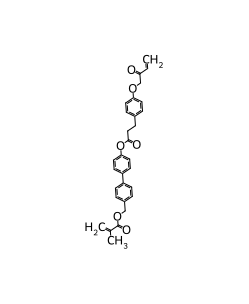 C=CC(=O)COc1ccc(CCC(=O)Oc2ccc(-c3ccc(COC(=O)C(=C)C)cc3)cc2)cc1